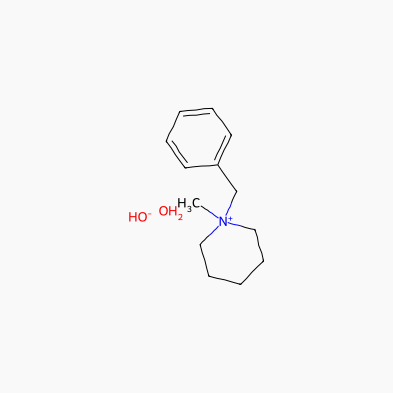 C[N+]1(Cc2ccccc2)CCCCC1.O.[OH-]